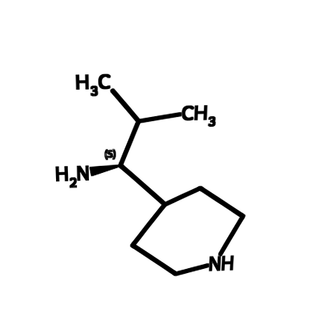 CC(C)[C@H](N)C1CCNCC1